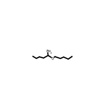 CCCCCOC(P)CCCC